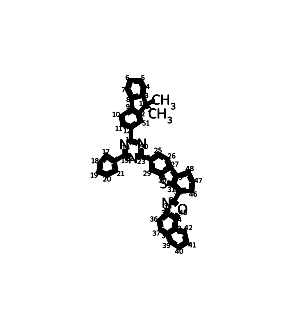 CC1(C)c2ccccc2-c2ccc(-c3nc(-c4ccccc4)nc(-c4ccc5c(c4)sc4c(-c6nc7ccc8ccccc8c7o6)cccc45)n3)cc21